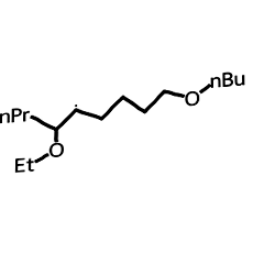 CCCCOCCCC[CH]C(CCC)OCC